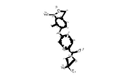 Cc1c(Oc2cnc(C(=O)N3CC(O)(C(F)(F)F)C3)cn2)ccc2c1B(O)OC2